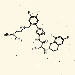 CCCCN(C)CCNCc1cc(F)c(F)cc1-n1cnc(NC(=O)[C@H](CCC)N[C@H]2CCc3cc(F)cc(F)c3C2)c1